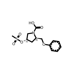 CS(=O)(=O)O[C@H]1C[C@H](COc2ccccc2)N(C(=O)O)C1